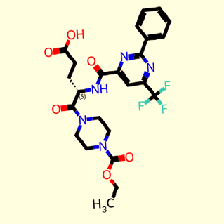 CCOC(=O)N1CCN(C(=O)[C@H](CCC(=O)O)NC(=O)c2cc(C(F)(F)F)nc(-c3ccccc3)n2)CC1